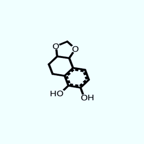 Oc1ccc2c(c1O)CCC1OCOC21